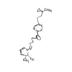 COC(=O)CCc1ccc(OCCCOc2cccc(O)c2C(C)=O)cc1